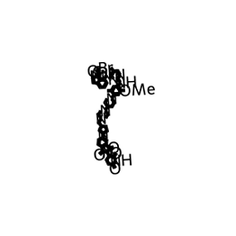 COc1cc(N2CCC(N3CCN(CC4CCN(c5ccc6c(c5)C(=O)N(C5CCC(=O)NC5=O)C6=O)C4)CC3)CC2)c(C)cc1Nc1ncc(Br)c(Nc2cccc3ccn(S(C)(=O)=O)c23)n1